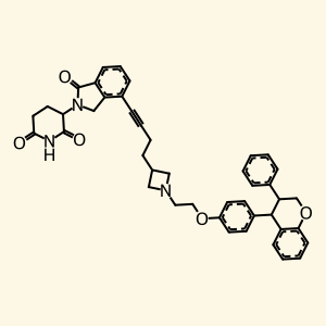 O=C1CCC(N2Cc3c(C#CCCC4CN(CCOc5ccc(C6c7ccccc7OCC6c6ccccc6)cc5)C4)cccc3C2=O)C(=O)N1